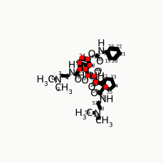 CN(C)CCNC(=O)C1C2CCC(C(OC(=O)Nc3ccccc3)C2)C1C(=O)NC(=O)C1C2CCC(CC2OC(=O)Nc2ccccc2)C1C(=O)NCCN(C)C